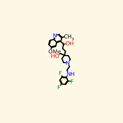 COc1ccc2ncc(C)c([C@H](O)CCC3(CO)CCN(CCNc4c(F)cc(F)cc4F)CC3)c2c1